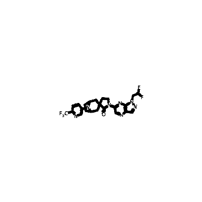 O=C1N(c2cnc3cnn(CC(F)F)c3n2)CCC12CC1CCC(C2)N1c1ccc(C(F)(F)F)nc1